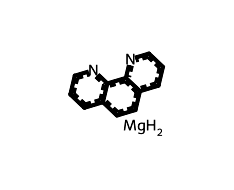 [MgH2].c1cnc2c(c1)ccc1cccnc12